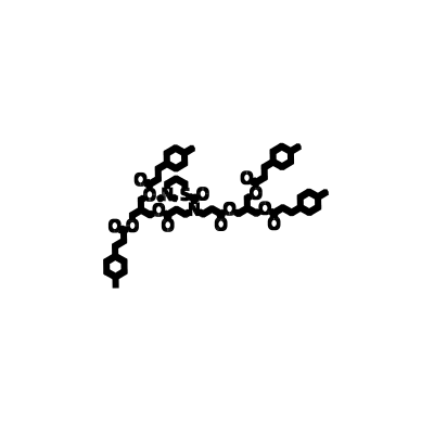 CC1CCC(CCC(=O)OCC(COC(=O)CCC2CCC(C)CC2)COC(=O)CCN(CCC(=O)OCC(COC(=O)CCC2CCC(C)CC2)COC(=O)CCC2CCC(C)CC2)C(=O)SCCCN(C)C)CC1